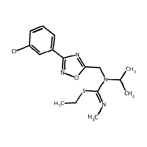 CCSC(=NC)N(Cc1nc(-c2cccc(Cl)c2)no1)C(C)C